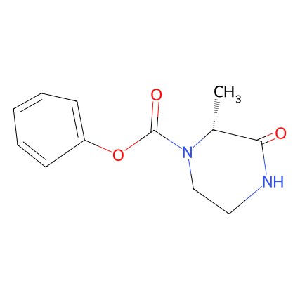 C[C@@H]1C(=O)NCCN1C(=O)Oc1ccccc1